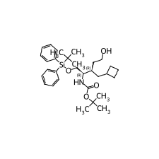 CC(C)(C)OC(=O)N[C@@H](CO[Si](c1ccccc1)(c1ccccc1)C(C)(C)C)[C@@H](CCO)CC1CCC1